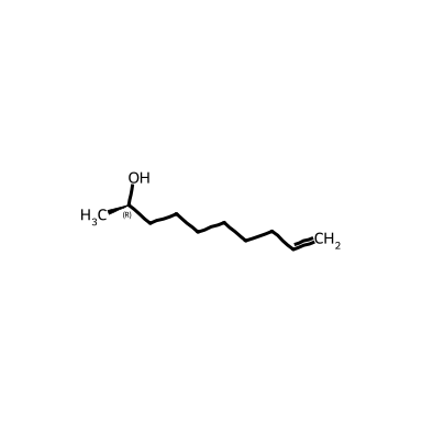 C=CCCCCCC[C@@H](C)O